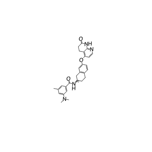 Cc1cc(C(=O)N[C@@H]2CCc3ccc(Oc4ccnc5c4CCC(=O)N5)cc3C2)cc(N(C)C)c1